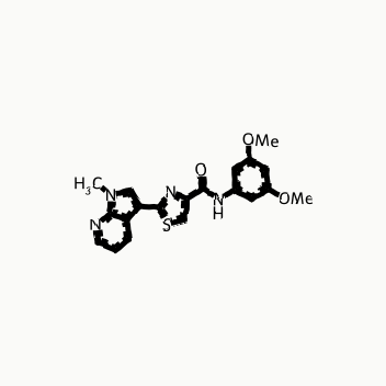 COc1cc(NC(=O)c2csc(-c3cn(C)c4ncccc34)n2)cc(OC)c1